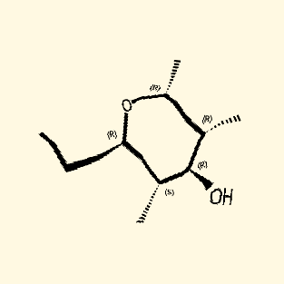 CC[C@H]1O[C@H](C)[C@H](C)[C@@H](O)[C@@H]1C